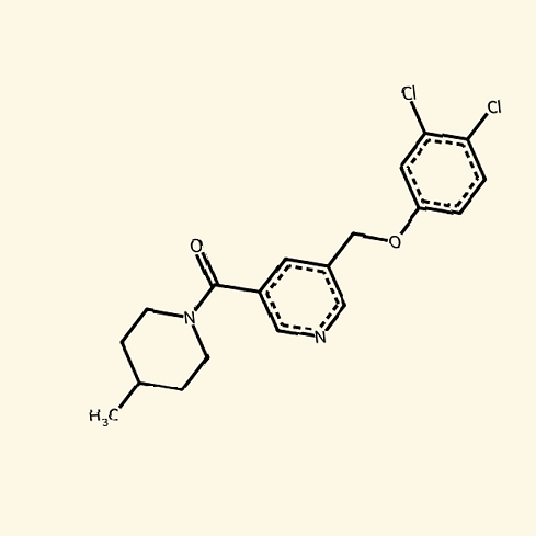 CC1CCN(C(=O)c2cncc(COc3ccc(Cl)c(Cl)c3)c2)CC1